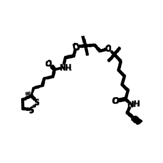 C#CCNC(=O)CCCCCC(C)(C)OCCC(C)(C)OCCNC(=O)CCCC[C@@H]1CCSS1